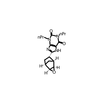 CCCn1c(=O)c2[nH]c([C@H]3C[C@H]4C[C@@H]3[C@H]3O[C@@H]43)nc2n(CCC)c1=O